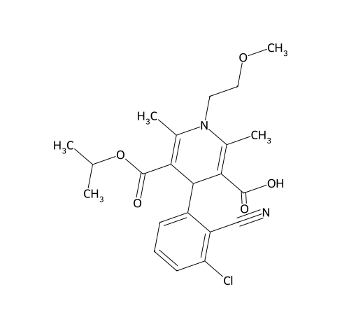 COCCN1C(C)=C(C(=O)O)C(c2cccc(Cl)c2C#N)C(C(=O)OC(C)C)=C1C